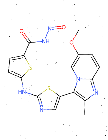 COc1ccc2nc(C)c(-c3cnc(Nc4ccc(C(=O)NN=O)s4)s3)n2c1